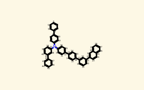 c1ccc(-c2ccc(N(c3ccc(-c4ccc(-c5cccc(-c6ccc7ccccc7c6)c5)cc4)cc3)c3cccc(-c4ccccc4)c3)cc2)cc1